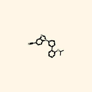 CC(C)Oc1ccccc1-c1cccc(-n2cnc3cc(C#N)ccc32)c1